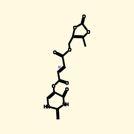 C=C1NC=C(OC(=O)/C=C/C(=O)OCc2oc(=O)oc2C)C(=O)N1